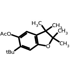 CC(=O)Oc1cc2c(cc1C(C)(C)C)OC(C)(C)C2(C)C